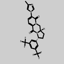 Cc1cn(-c2ccc3n(c2=O)C[C@@H]2CC[C@H](c4cc(C(F)(F)F)cc(C(F)(F)F)c4)N2C3=O)cn1